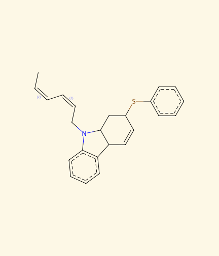 C/C=C\C=C/CN1c2ccccc2C2C=CC(Sc3ccccc3)CC21